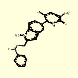 CCc1cc(C(=O)O)c(=O)[nH]c1-c1ccc2c(c1)cc(CN[C@H](CC)c1ccccc1)n2C